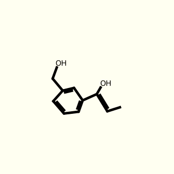 C/C=C(\O)c1cccc(CO)c1